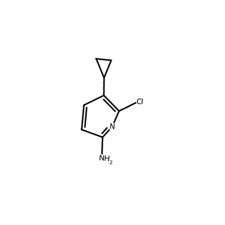 Nc1ccc(C2CC2)c(Cl)n1